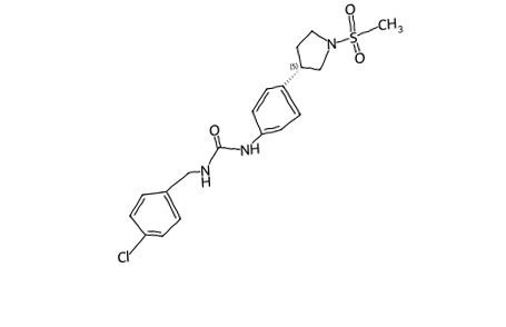 CS(=O)(=O)N1CC[C@@H](c2ccc(NC(=O)NCc3ccc(Cl)cc3)cc2)C1